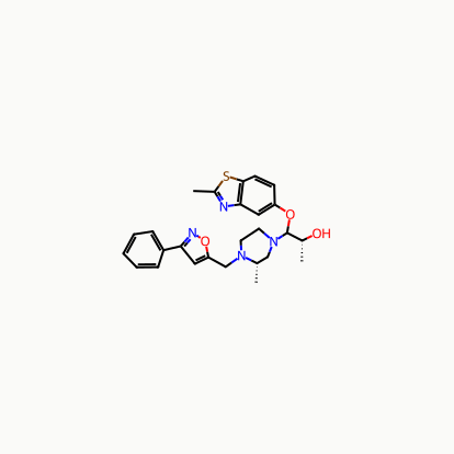 Cc1nc2cc(OC([C@@H](C)O)N3CCN(Cc4cc(-c5ccccc5)no4)[C@@H](C)C3)ccc2s1